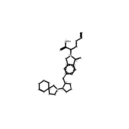 C=CCCC(C(=C)NC)N1Cc2cc(CC3CCCC3N3CCC4(CCCCC4)C3)ccc2C1C